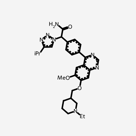 CCN1CCCC(COc2cc3ncnc(-c4ccc(C(C(N)=O)n5cc(C(C)C)nn5)cc4)c3cc2OC)C1